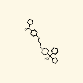 O=C(c1ccc(OCCCN2CCC(C(O)(c3ccccc3)C3CCCC3)CC2)cc1)C1CCCC1